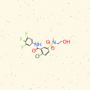 CN(CCO)S(=O)(=O)c1ccc(Cl)c(C(=O)Nc2cc(F)c(F)c(F)c2)c1